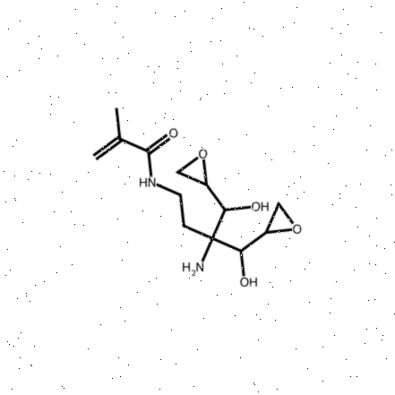 C=C(C)C(=O)NCCC(N)(C(O)C1CO1)C(O)C1CO1